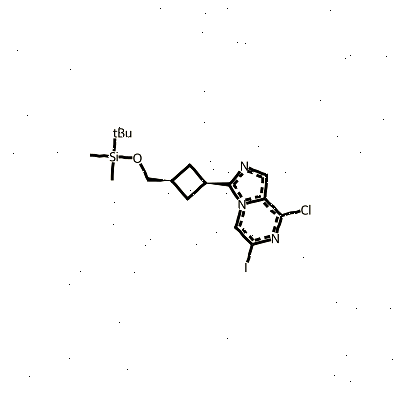 CC(C)(C)[Si](C)(C)OC[C@H]1C[C@@H](c2ncc3c(Cl)nc(I)cn32)C1